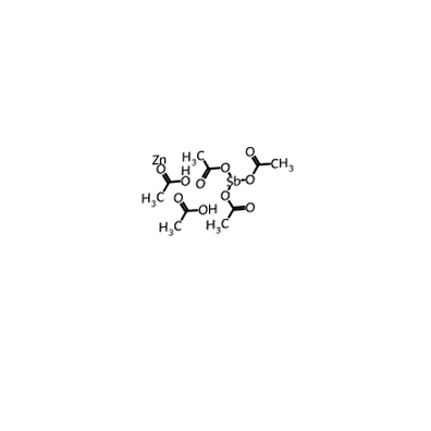 CC(=O)O.CC(=O)O.CC(=O)[O][Sb]([O]C(C)=O)[O]C(C)=O.[Zn]